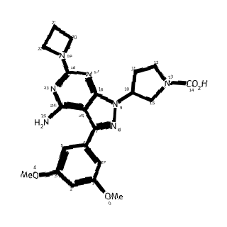 COc1cc(OC)cc(-c2nn(C3CCN(C(=O)O)C3)c3nc(N4CCC4)nc(N)c23)c1